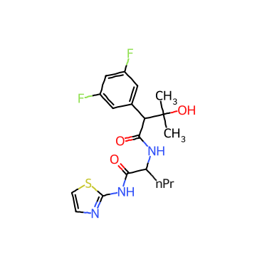 CCCC(NC(=O)C(c1cc(F)cc(F)c1)C(C)(C)O)C(=O)Nc1nccs1